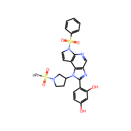 CCCS(=O)(=O)N1CCC(n2c(-c3ccc(O)cc3O)nc3cnc4c(ccn4S(=O)(=O)c4ccccc4)c32)C1